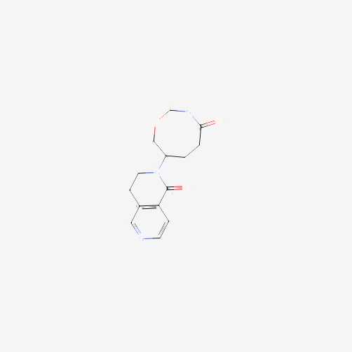 O=C1CCC(N2CCc3cnccc3C2=O)COCN1